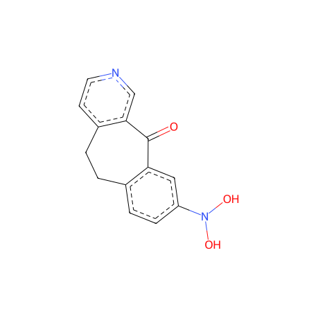 O=C1c2cnccc2CCc2ccc(N(O)O)cc21